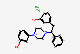 Cl.Cl.Oc1cccc(CC(c2ccccc2)N2CCN(c3cccc(O)c3)CC2)c1